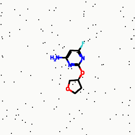 Nc1cc(F)nc(O[C@H]2CCOC2)n1